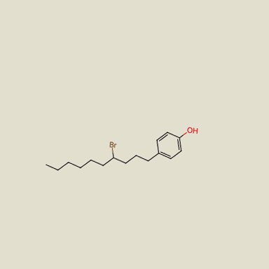 CCCCCCC(Br)CCCc1ccc(O)cc1